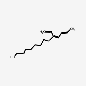 C=C/C(=C\C=C\C)SCCCCCCCO